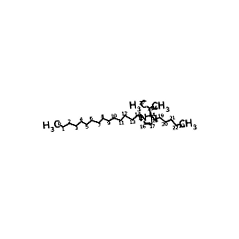 CCCCCCCCCCCCCCCN1C=CN(CCCCC)C1C(C)C